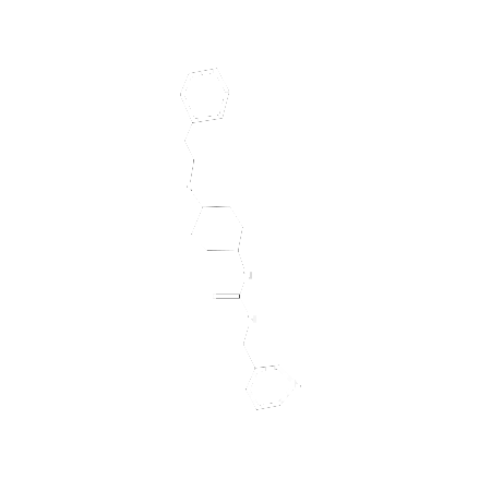 O=C(NCc1cccnc1)NC1CCC(NCCc2ccccc2)CC1